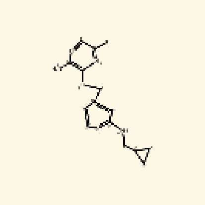 Nc1ncc(Br)nc1OCc1ccnc(NCC2CC2)c1